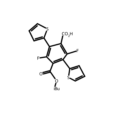 CCC(C)OC(=O)c1c(F)c(-c2cccs2)c(C(=O)O)c(F)c1-c1cccs1